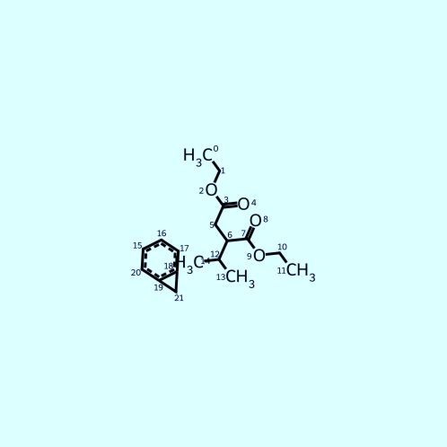 CCOC(=O)CC(C(=O)OCC)C(C)C.c1ccc2c(c1)C2